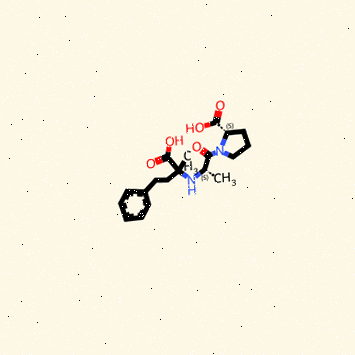 C[C@H](NC(C)(CCc1ccccc1)C(=O)O)C(=O)N1CCC[C@H]1C(=O)O